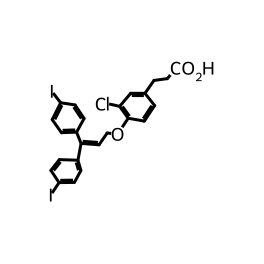 O=C(O)CCc1ccc(OCC=C(c2ccc(I)cc2)c2ccc(I)cc2)c(Cl)c1